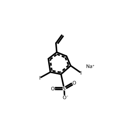 C=Cc1cc(I)c(S(=O)(=O)[O-])c(I)c1.[Na+]